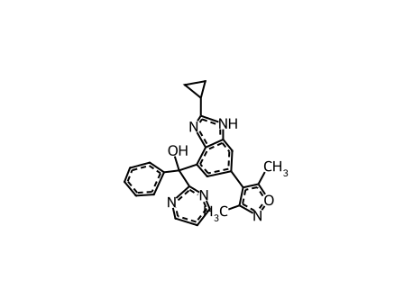 Cc1noc(C)c1-c1cc(C(O)(c2ccccc2)c2ncccn2)c2nc(C3CC3)[nH]c2c1